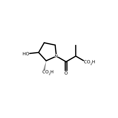 CC(C(=O)O)C(=O)N1CCC(O)[C@H]1C(=O)O